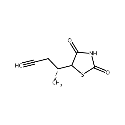 C#CC[C@@H](C)C1SC(=O)NC1=O